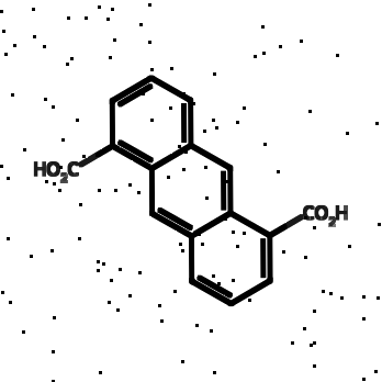 O=C(O)c1cccc2cc3c(C(=O)O)cccc3cc12